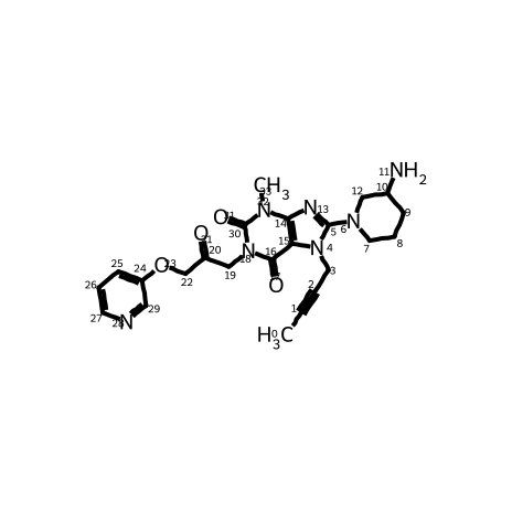 CC#CCn1c(N2CCCC(N)C2)nc2c1c(=O)n(CC(=O)COc1cccnc1)c(=O)n2C